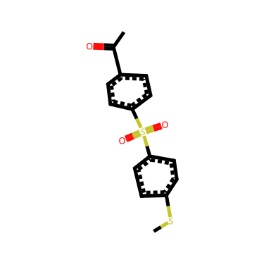 CSc1ccc(S(=O)(=O)c2ccc(C(C)=O)cc2)cc1